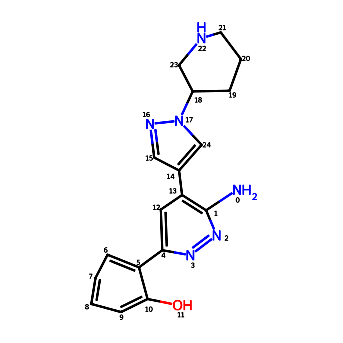 Nc1nnc(-c2ccccc2O)cc1-c1cnn(C2CCCNC2)c1